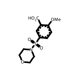 COc1ccc(S(=O)(=O)N2CCOCC2)cc1C(=O)O